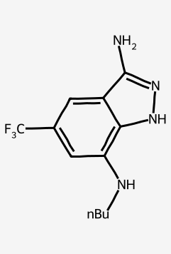 CCCCNc1cc(C(F)(F)F)cc2c(N)n[nH]c12